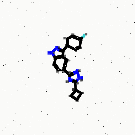 Fc1ccc(-c2n[nH]c3ccc(-c4n[nH]c(C5CCC5)n4)cc23)cc1